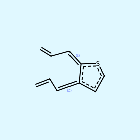 C=C/C=c1/ccs/c1=C/C=C